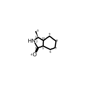 C[C@@H]1NC(=O)C2CCCCC21